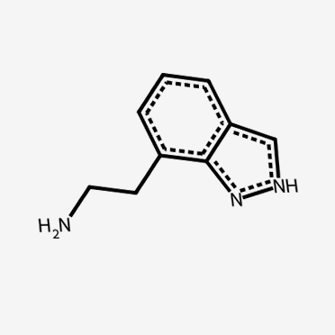 NCCc1cccc2c[nH]nc12